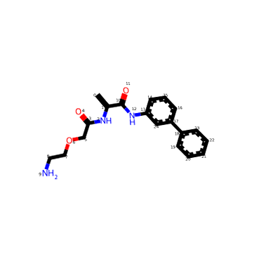 C=C(NC(=O)COCCN)C(=O)Nc1cccc(-c2ccccc2)c1